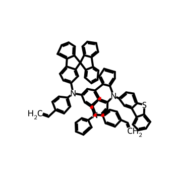 C=Cc1ccc(N(c2ccccc2)c2cc(-c3ccccc3N(c3ccccc3)c3ccc4sc5ccccc5c4c3)cc(N(c3ccc(C=C)cc3)c3ccc4c(c3)C3(c5ccccc5-c5ccccc53)c3ccccc3-4)c2)cc1